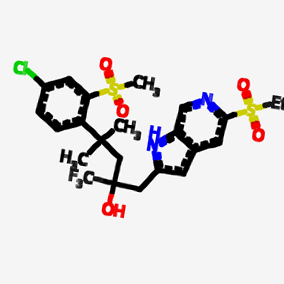 CCS(=O)(=O)c1cc2cc(CC(O)(CC(C)(C)c3ccc(Cl)cc3S(C)(=O)=O)C(F)(F)F)[nH]c2cn1